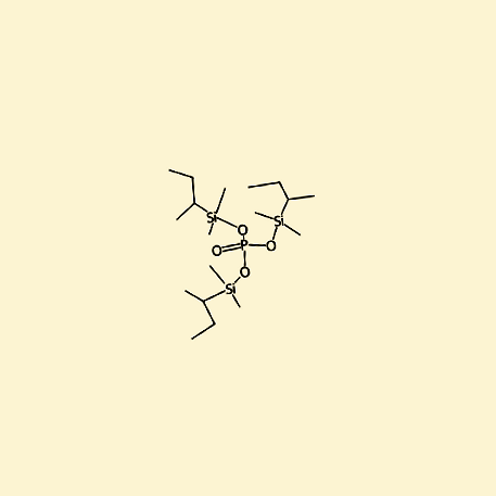 CCC(C)[Si](C)(C)OP(=O)(O[Si](C)(C)C(C)CC)O[Si](C)(C)C(C)CC